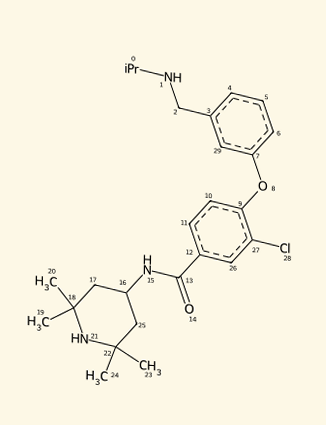 CC(C)NCc1cccc(Oc2ccc(C(=O)NC3CC(C)(C)NC(C)(C)C3)cc2Cl)c1